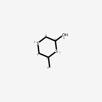 CC1CSCC(O)S1